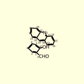 O=Cc1ccccc1O.c1ccc2nc3ccccc3cc2c1